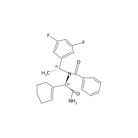 C[C@H](c1cc(F)cc(F)c1)N(C(=O)c1ccccc1)[C@@H](C(N)=O)C1=CCCCC1